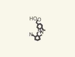 Cc1cccc(C#N)c1Cn1nc(C)c2ccc(CC(=O)O)cc21